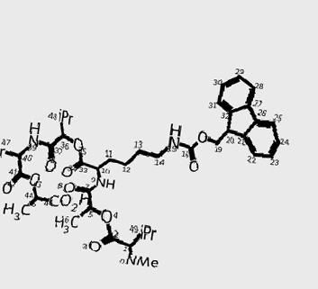 CNC(C(=O)OC(C)C(=O)NC(CCCCNC(=O)OCC1c2ccccc2-c2ccccc21)C(=O)OC(C(=O)NC(C(=O)OC(C)C(=O)O)C(C)C)C(C)C)C(C)C